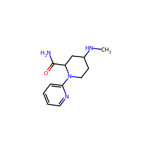 CNC1CCN(c2cc[c]cn2)C(C(N)=O)C1